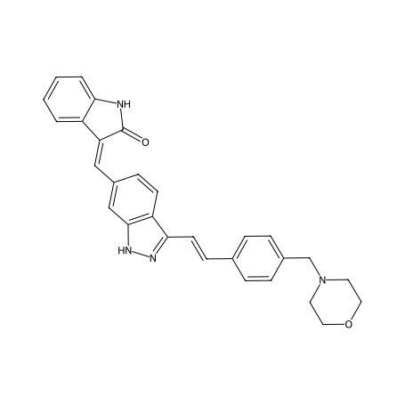 O=C1Nc2ccccc2C1=Cc1ccc2c(/C=C/c3ccc(CN4CCOCC4)cc3)n[nH]c2c1